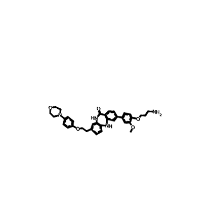 COc1cc(-c2ccc3c(c2)Nc2ccc(CCOc4ccc(N5CCOCC5)cc4)cc2NC3=O)ccc1OCCCN